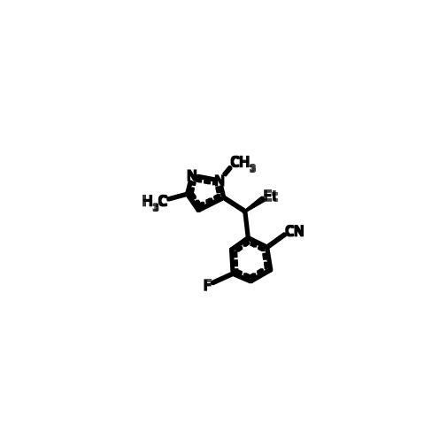 CC[C@@H](c1cc(F)ccc1C#N)c1cc(C)nn1C